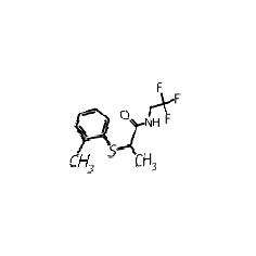 Cc1ccccc1SC(C)C(=O)NCC(F)(F)F